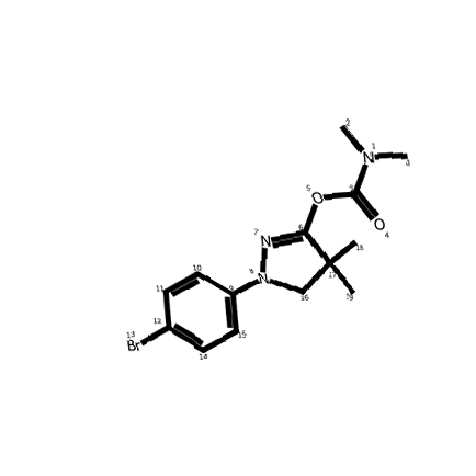 CN(C)C(=O)OC1=NN(c2ccc(Br)cc2)CC1(C)C